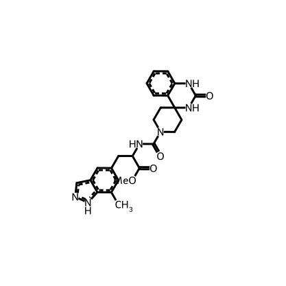 COC(=O)C(Cc1cc(C)c2[nH]ncc2c1)NC(=O)N1CCC2(CC1)NC(=O)Nc1ccccc12